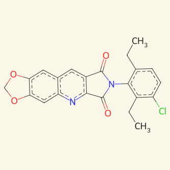 CCc1ccc(Cl)c(CC)c1N1C(=O)c2cc3cc4c(cc3nc2C1=O)OCO4